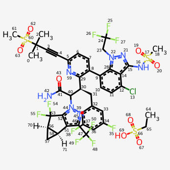 CC(C)(C#Cc1ccc(-c2ccc(Cl)c3c(NS(C)(=O)=O)nn(CC(F)(F)F)c23)c([C@@H](Cc2cc(F)cc(F)c2)C(C(N)=O)n2nc(C(F)(F)F)c3c2C(F)(F)[C@@H]2C[C@H]32)n1)S(C)(=O)=O.CCS(=O)(=O)O